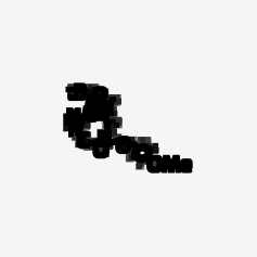 COc1ccc(COCCN2C[C@H](C)[C@H](CN(C)C(=O)OC(C)(C)C)OCc3cn(nn3)CCCC2=O)cc1